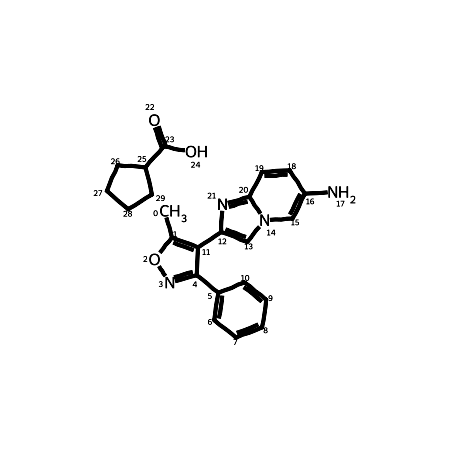 Cc1onc(-c2ccccc2)c1-c1cn2cc(N)ccc2n1.O=C(O)C1CCCC1